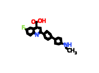 CCNc1ccc(-c2ccc(-c3cc(C(=O)O)c4cc(F)ccc4n3)cc2)cc1